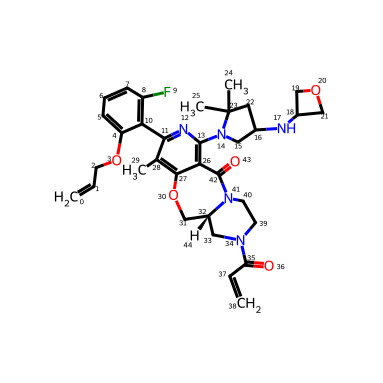 C=CCOc1cccc(F)c1-c1nc(N2CC(NC3COC3)CC2(C)C)c2c(c1C)OC[C@H]1CN(C(=O)C=C)CCN1C2=O